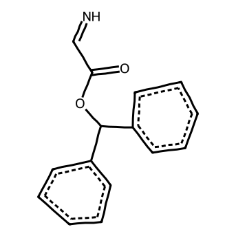 N=CC(=O)OC(c1ccccc1)c1ccccc1